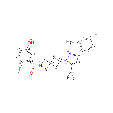 Cc1cc(F)ccc1-c1cc(C2CC2)n(C2CC3(C2)CN(C(=O)c2cc(O)ccc2F)C3)n1